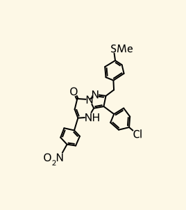 CSc1ccc(Cc2nn3c(=O)cc(-c4ccc([N+](=O)[O-])cc4)[nH]c3c2-c2ccc(Cl)cc2)cc1